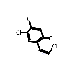 Cl/C=[C]\c1cc(Cl)c(Cl)cc1Cl